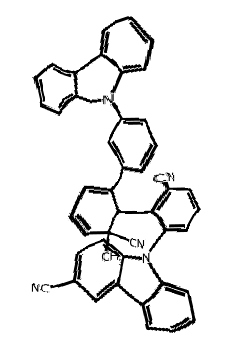 CC1(C#N)C=CC=C(c2cccc(-n3c4ccccc4c4ccccc43)c2)C1c1c(C#N)cccc1-n1c2ccccc2c2cc(C#N)ccc21